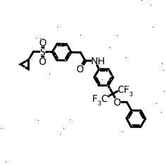 O=C(Cc1ccc(S(=O)(=O)CC2CC2)cc1)Nc1ccc(C(OCc2ccccc2)(C(F)(F)F)C(F)(F)F)cc1